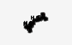 CC1(C)c2cc(-c3cccc(-c4ccc5c(c4)C(C)(C)c4cc(-c6nc(-c7ccccc7)nc(-c7ccccc7)n6)ccc4-5)c3)ccc2-c2ccc(-c3cc(-c4ccccc4)nc(-c4ccccc4)c3)cc21